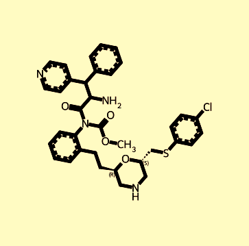 COC(=O)N(C(=O)C(N)C(c1ccccc1)c1ccncc1)c1ccccc1CC[C@@H]1CNC[C@@H](CSc2ccc(Cl)cc2)O1